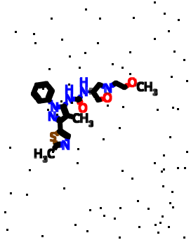 COCCN1C[C@@H](NC(=O)Nc2c(C)c(-c3cnc(C)s3)nn2-c2ccccc2)CO1